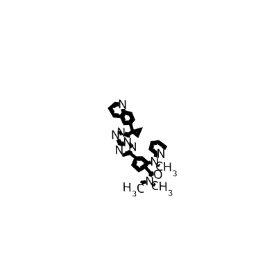 CCN(C)C(=O)c1ccc(-c2cnc3nnc(C4(c5ccc6ncccc6c5)CC4)n3n2)cc1N(C)c1ccccn1